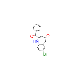 O=C1C=C(C(=O)c2ccccc2)Nc2ccc(Br)cc2C1